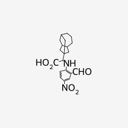 O=Cc1cc([N+](=O)[O-])ccc1NC(C(=O)O)C12CC3CCCC(C1)C(C3)C2